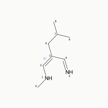 CN/C=C(\C=N)CC(C)C